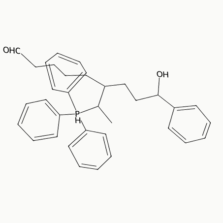 CC(C(CCCCC=O)CCC(O)c1ccccc1)[PH](c1ccccc1)(c1ccccc1)c1ccccc1